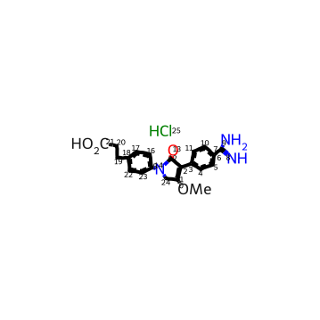 COC1=C(c2ccc(C(=N)N)cc2)C(=O)N(c2ccc(CCC(=O)O)cc2)C1.Cl